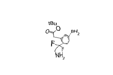 Bc1ccc(C(F)(F)CN)c(CC(=O)OC(C)(C)C)c1